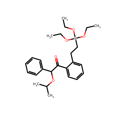 CCO[Si](CCc1ccccc1C(=O)C(OC(C)C)c1ccccc1)(OCC)OCC